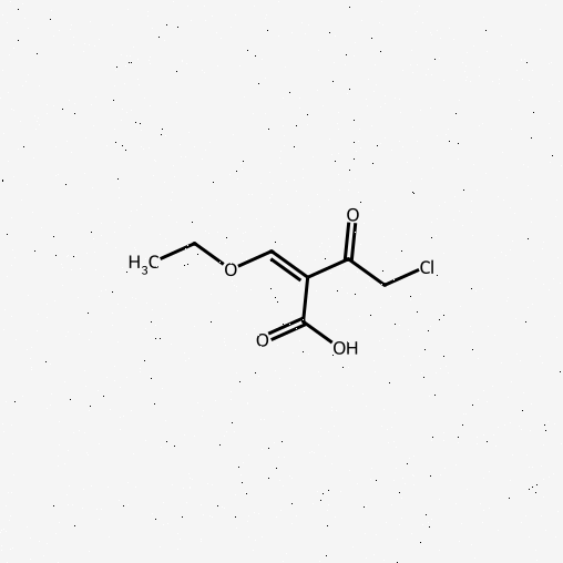 CCOC=C(C(=O)O)C(=O)CCl